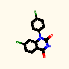 O=c1[nH]c(=O)n(-c2ccc(F)cc2)c2cc(Cl)ccc12